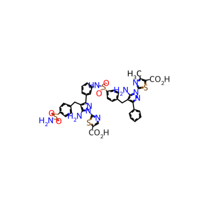 Cc1nc(-n2nc(-c3ccccc3)c(Cc3ccc(S(=O)(=O)Nc4cccc(-c5nn(-c6ncc(C(=O)O)s6)c(N)c5Cc5ccc(S(N)(=O)=O)cc5)c4)cc3)c2N)sc1C(=O)O